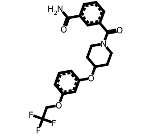 NC(=O)c1cccc(C(=O)N2CCC(Oc3cccc(OCC(F)(F)F)c3)CC2)c1